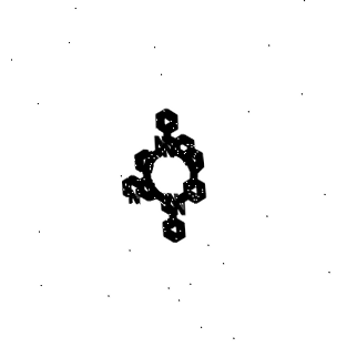 c1ccc(-c2cc3nc(n2)c2cccc(c2)c2ccc4ccc5c(-c6ccccc6)nc(nc5c4c2)c2cccc(c2)c2cc3cc3ncccc32)cc1